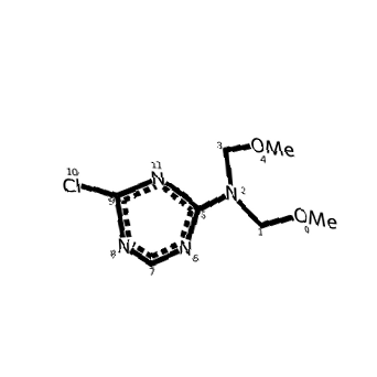 COCN(COC)c1ncnc(Cl)n1